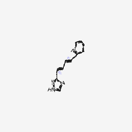 C(/C=C/c1nc[nH]n1)=C\c1ccccn1